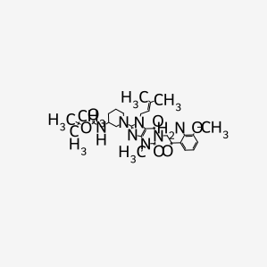 COc1cccc(C(=O)Cn2c(=O)c3c(nc(N4CCCC(NC(=O)OC(C)(C)C)C4)n3CC=C(C)C)n(C)c2=O)c1N